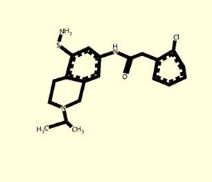 CC(C)N1CCc2c(cc(NC(=O)Cc3ccccc3Cl)cc2SN)C1